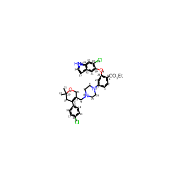 CCOC(=O)c1ccc(N2CCN(CC3=C(c4ccc(Cl)cc4)CC(C)(C)OC3)CC2)cc1Oc1cc2cc[nH]c2cc1Cl